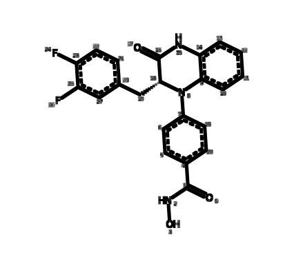 O=C(NO)c1ccc(N2c3ccccc3NC(=O)[C@H]2Cc2ccc(F)c(F)c2)cc1